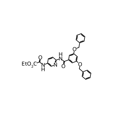 CCOC(=O)C(=O)Nc1ccc(NC(=O)c2cc(OCc3ccccc3)cc(OCc3ccccc3)c2)nc1